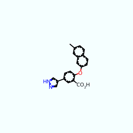 Cc1ccc2ccc(Oc3ccc(-c4cn[nH]c4)cc3C(=O)O)cc2c1